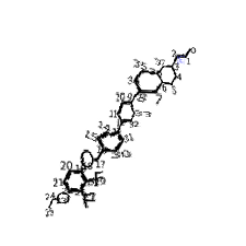 C/C=C/C1CCC2CC(C3C=CC(c4ccc(COc5ccc(OCC)c(F)c5F)cc4)=CC3)CCC2C1